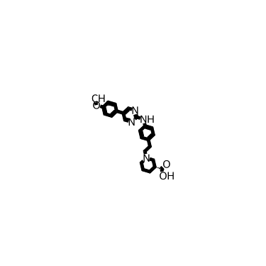 COc1ccc(-c2cnc(Nc3ccc(CCN4CCC[C@@H](C(=O)O)C4)cc3)nc2)cc1